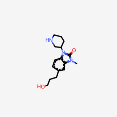 Cn1c(=O)n(C2CCCNC2)c2ccc(CCCO)cc21